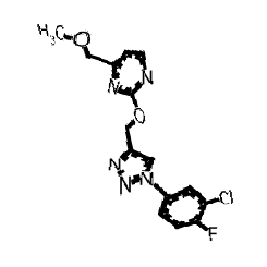 COCc1ccnc(OCc2cn(-c3ccc(F)c(Cl)c3)nn2)n1